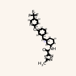 Cc1nnc(C(=O)NC2CCC/C(=C\c3cccc(Oc4ccc(C(F)(F)F)cn4)c3)C2)s1